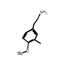 CC(C)(C)Oc1ccc(CC[SiH3])cc1I